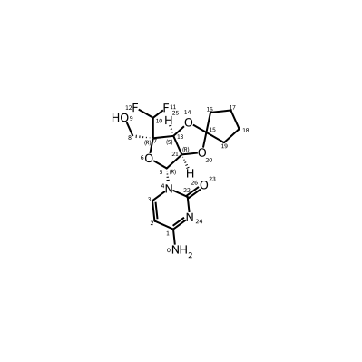 Nc1ccn([C@@H]2O[C@@](CO)(C(F)F)[C@H]3OC4(CCCC4)O[C@@H]23)c(=O)n1